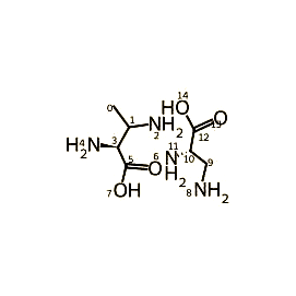 CC(N)[C@H](N)C(=O)O.NC[C@H](N)C(=O)O